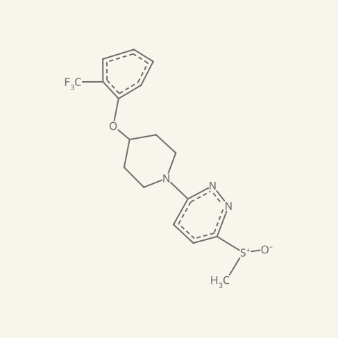 C[S+]([O-])c1ccc(N2CCC(Oc3ccccc3C(F)(F)F)CC2)nn1